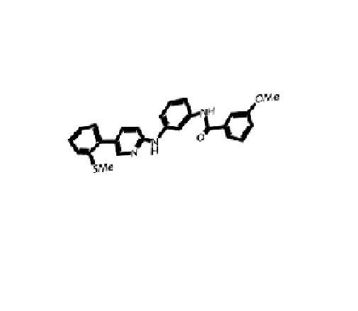 COc1cccc(C(=O)Nc2cccc(Nc3ccc(-c4ccccc4SC)cn3)c2)c1